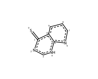 S=c1nc[nH]c2ncccc12